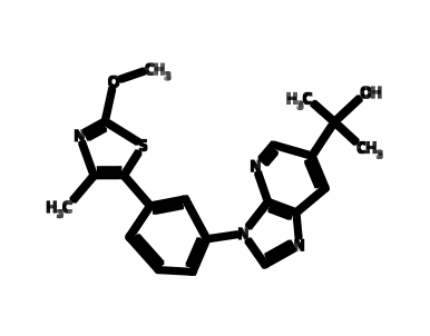 COc1nc(C)c(-c2cccc(-n3cnc4cc(C(C)(C)O)cnc43)c2)s1